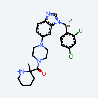 C[C@H](c1ccc(Cl)cc1Cl)n1cnc2ccc(N3CCN(C(=O)C4(C)CCCCN4)CC3)cc21